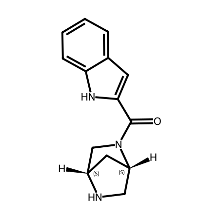 O=C(c1cc2ccccc2[nH]1)N1C[C@@H]2C[C@H]1CN2